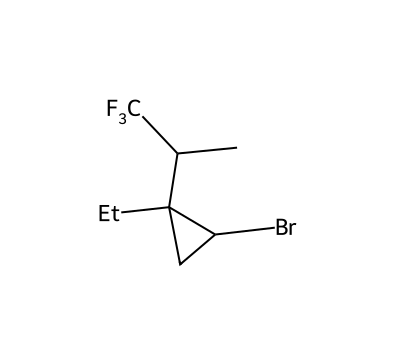 CCC1(C(C)C(F)(F)F)CC1Br